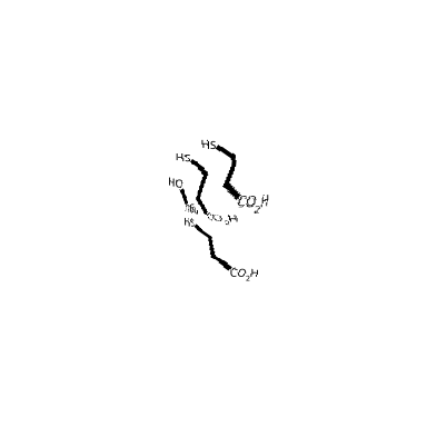 CCCCO.O=C(O)CCS.O=C(O)CCS.O=C(O)CCS